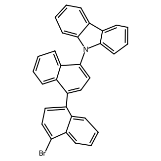 Brc1ccc(-c2ccc(-n3c4ccccc4c4ccccc43)c3ccccc23)c2ccccc12